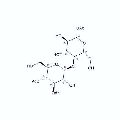 CC(=O)O[C@@H]1O[C@H](CO)[C@@H](O[C@@H]2O[C@H](CO)[C@@H](OC(C)=O)[C@H](OC(C)=O)[C@H]2O)[C@H](O)[C@H]1O